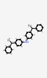 CCC(c1ccccc1)c1ccc(Nc2ccc(C(CC)c3ccccc3)cc2)cc1